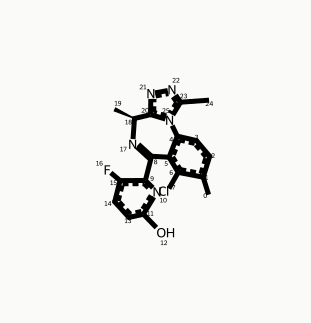 Cc1ccc2c(c1Cl)C(c1nc(O)ccc1F)=N[C@@H](C)c1nnc(C)n1-2